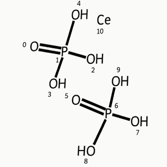 O=P(O)(O)O.O=P(O)(O)O.[Ce]